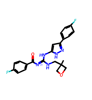 CC1(CN/C(=N/C(=O)c2ccc(F)cc2)Nc2cc(-c3ccc(F)cc3)n[nH]2)COC1